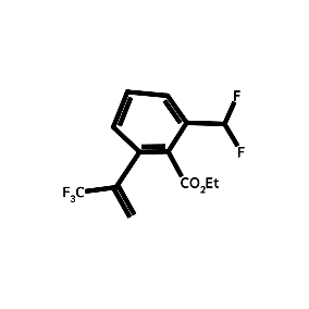 C=C(c1cccc(C(F)F)c1C(=O)OCC)C(F)(F)F